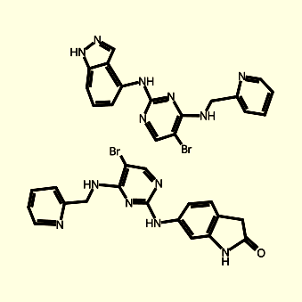 Brc1cnc(Nc2cccc3[nH]ncc23)nc1NCc1ccccn1.O=C1Cc2ccc(Nc3ncc(Br)c(NCc4ccccn4)n3)cc2N1